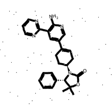 CC1(C)OC(=O)N([C@@H]2CC=C(c3cnc(N)c(-c4ncccn4)c3)CC2)[C@H]1c1ccccc1